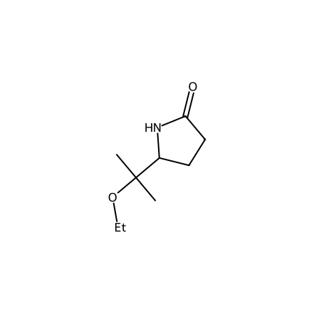 CCOC(C)(C)C1CCC(=O)N1